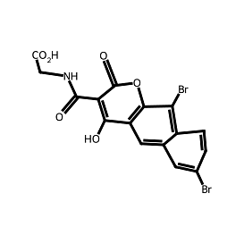 O=C(O)CNC(=O)c1c(O)c2cc3cc(Br)ccc3c(Br)c2oc1=O